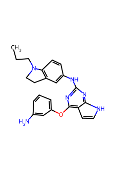 CCCN1CCc2cc(Nc3nc(Oc4cccc(N)c4)c4cc[nH]c4n3)ccc21